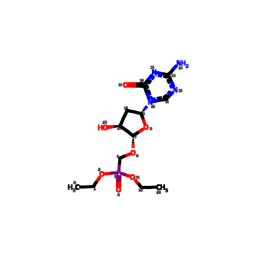 CCOP(=O)(CO[C@H]1O[C@@H](n2cnc(N)nc2=O)C[C@@H]1O)OCC